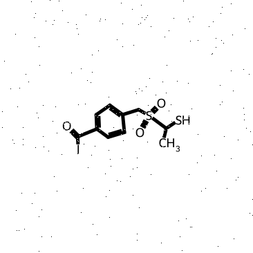 CC(S)S(=O)(=O)Cc1ccc(C(=O)I)cc1